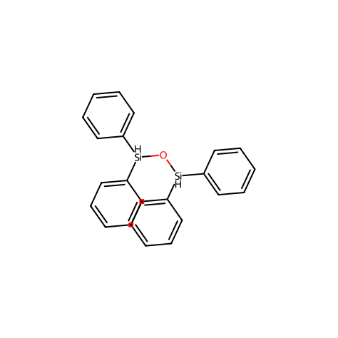 c1ccc([SiH](O[SiH](c2ccccc2)c2ccccc2)c2ccccc2)cc1